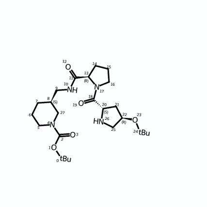 CC(C)(C)OC(=O)N1CCC[C@@H](CNC(=O)[C@H]2CCCN2C(=O)[C@@H]2C[C@@H](OC(C)(C)C)CN2)C1